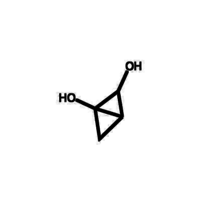 OC1C2CC12O